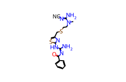 CN(CCSCc1csc(NC(N)=NC(=O)c2ccccc2)n1)C(N)=NC#N